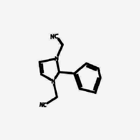 N#CCN1C=CN(CC#N)C1c1ccccc1